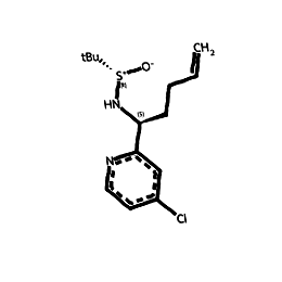 C=CCC[C@H](N[S@@+]([O-])C(C)(C)C)c1cc(Cl)ccn1